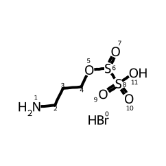 Br.NCCCOS(=O)S(=O)(=O)O